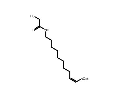 CCCCCCCC/C=C\CCCCCCCCNC(=O)CS